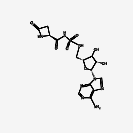 Nc1ncnc2c1ncn2[C@@H]1O[C@H](CNS(=O)(=O)NC(=O)[C@@H]2CC(=O)N2)C(O)[C@@H]1O